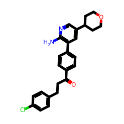 Nc1ncc(C2CCOCC2)cc1-c1ccc(C(=O)CCc2ccc(Cl)cc2)cc1